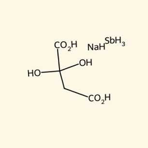 O=C(O)CC(O)(O)C(=O)O.[NaH].[SbH3]